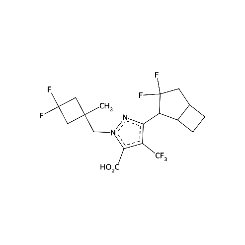 CC1(Cn2nc(C3C4CCC4CC3(F)F)c(C(F)(F)F)c2C(=O)O)CC(F)(F)C1